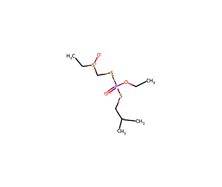 CCOP(=O)(SCC(C)C)SC[S+]([O-])CC